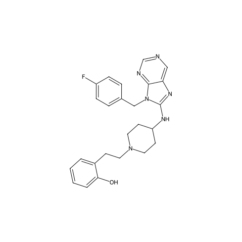 Oc1ccccc1CCN1CCC(Nc2nc3cncnc3n2Cc2ccc(F)cc2)CC1